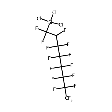 FC(C(F)(F)C(F)(F)C(F)(F)C(F)(F)C(F)(F)C(F)(F)F)C(F)(F)[Si](Cl)(Cl)Cl